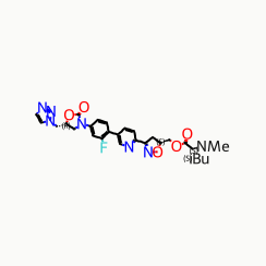 CC[C@H](C)[C@H](NC)C(=O)OC[C@@H]1CC(c2ccc(-c3ccc(N4C[C@H](Cn5ccnn5)OC4=O)cc3F)cn2)=NO1